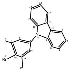 Cc1cc(-n2c3ccccc3c3ccccc32)cc(C)c1Br